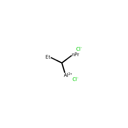 CCC[CH]([Al+2])CC.[Cl-].[Cl-]